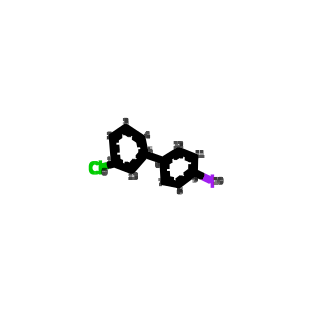 Clc1cccc(-c2ccc(I)cc2)c1